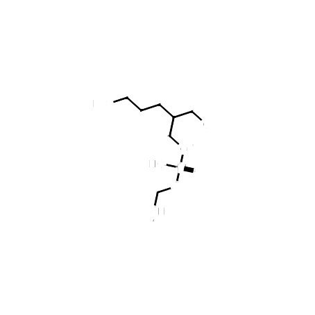 CCCCC(CC)COP(=O)(O)OCC